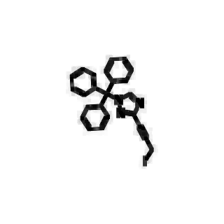 ICC#Cc1ncn(C(c2ccccc2)(c2ccccc2)c2ccccc2)n1